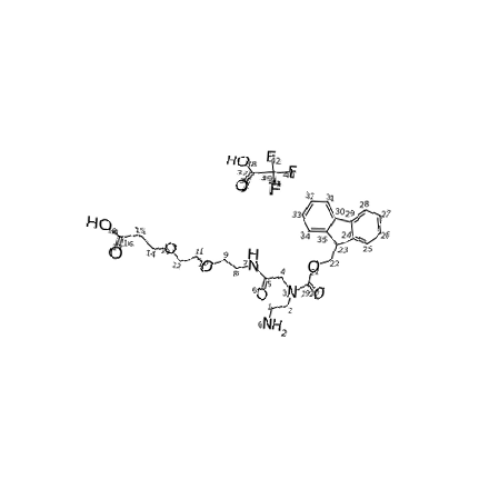 NCCN(CC(=O)NCCOCCOCCC(=O)O)C(=O)OCC1c2ccccc2-c2ccccc21.O=C(O)C(F)(F)F